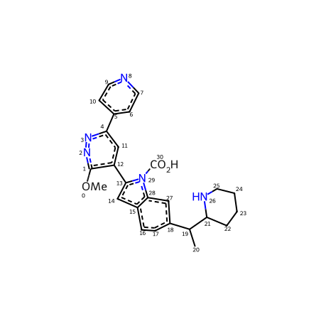 COc1nnc(-c2ccncc2)cc1-c1cc2ccc(C(C)C3CCCCN3)cc2n1C(=O)O